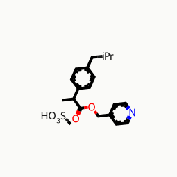 CC(C)Cc1ccc(C(C)C(=O)OCc2ccncc2)cc1.CS(=O)(=O)O